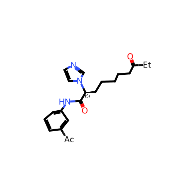 CCC(=O)CCCCC[C@@H](C(=O)Nc1cccc(C(C)=O)c1)n1ccnc1